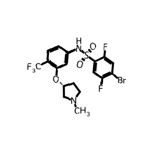 CN1CC[C@@H](Oc2cc(NS(=O)(=O)c3cc(F)c(Br)cc3F)ccc2C(F)(F)F)C1